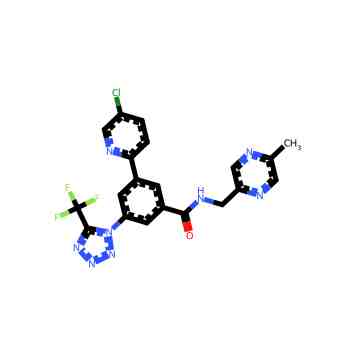 Cc1cnc(CNC(=O)c2cc(-c3ccc(Cl)cn3)cc(-n3nnnc3C(F)(F)F)c2)cn1